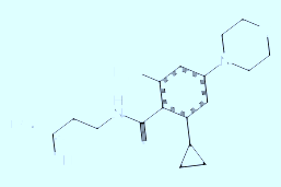 Cc1cc(N2CCOCC2)cc(C2CC2)c1C(=O)NCC[C@H](O)C(C)(C)C